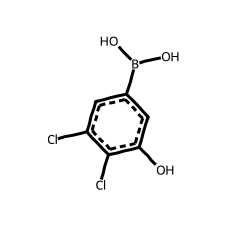 OB(O)c1cc(O)c(Cl)c(Cl)c1